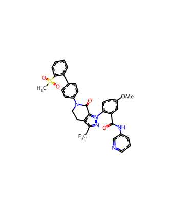 COc1ccc(-n2nc(C(F)(F)F)c3c2C(=O)N(c2ccc(-c4ccccc4S(C)(=O)=O)cc2)CC3)c(C(=O)Nc2cccnc2)c1